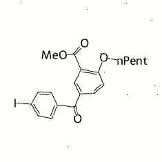 CCCCCOc1ccc(C(=O)c2ccc(I)cc2)cc1C(=O)OC